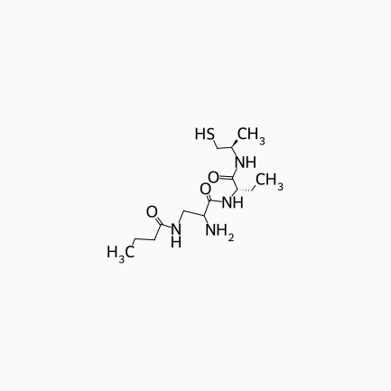 CCCC(=O)NCC(N)C(=O)N[C@@H](CC)C(=O)N[C@H](C)CS